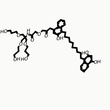 O=C(COCC(=O)NC(COCCCO)(COCCCO)COCCCO)Cc1cc(O)c(CCCCCCCCCCc2c(O)cc(O)c3ccccc23)c2ccccc12